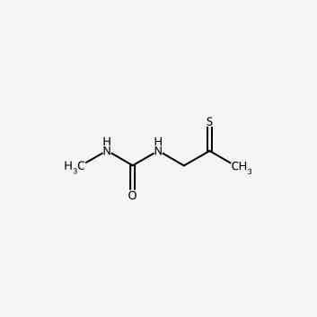 CNC(=O)NCC(C)=S